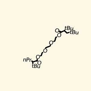 CCCC(C(=O)OCCOCCOCCOC(=O)C(CC(C)(C)C)C(C)(C)C)C(C)(C)C